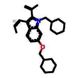 C=C(C)c1c(/C=C\C)c2ccc(OCC3CCCCC3)cc2n1CC1CCCCC1